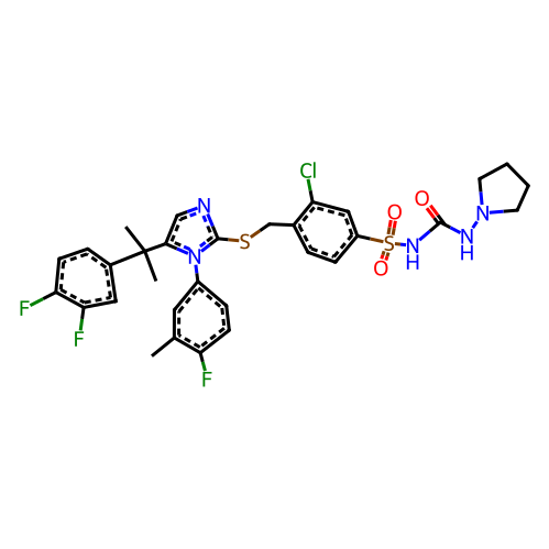 Cc1cc(-n2c(C(C)(C)c3ccc(F)c(F)c3)cnc2SCc2ccc(S(=O)(=O)NC(=O)NN3CCCC3)cc2Cl)ccc1F